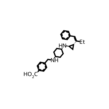 CCC(=Cc1ccccc1)[C@@H]1C[C@H]1N[C@H]1CC[C@H](NCc2ccc(C(=O)O)cc2)CC1